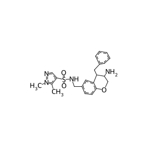 Cc1c(S(=O)(=O)NCc2ccc3c(c2)C(Cc2ccccc2)C(N)CO3)cnn1C